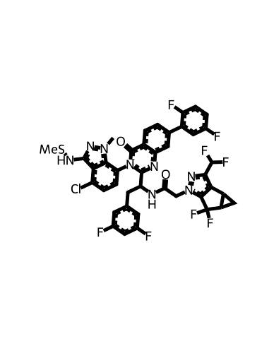 CSNc1nn(C)c2c(-n3c(C(Cc4cc(F)cc(F)c4)NC(=O)Cn4nc(C(F)F)c5c4C(F)(F)C4CC54)nc4cc(-c5cc(F)ccc5F)ccc4c3=O)ccc(Cl)c12